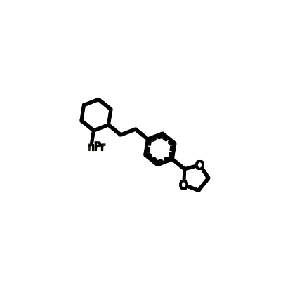 CCCC1CCCCC1CCc1ccc(C2OCCO2)cc1